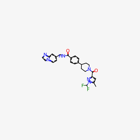 Cc1cc(C(=O)N2CCC(c3ccc(C(=O)NCc4ccn5ccnc5c4)cc3)CC2)nn1C(F)F